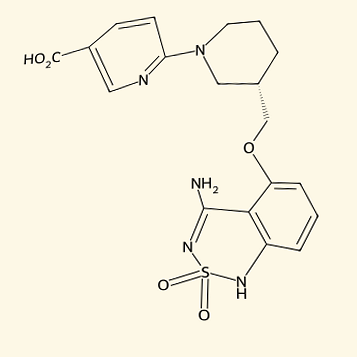 NC1=NS(=O)(=O)Nc2cccc(OC[C@H]3CCCN(c4ccc(C(=O)O)cn4)C3)c21